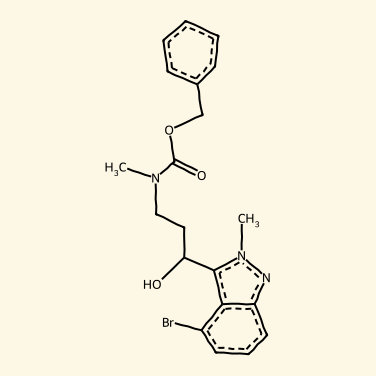 CN(CCC(O)c1c2c(Br)cccc2nn1C)C(=O)OCc1ccccc1